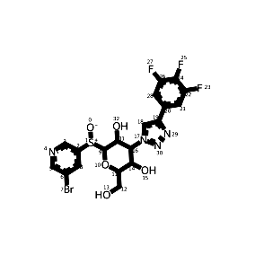 [O-][S+](c1cncc(Br)c1)C1OC(CO)C(O)C(n2cc(-c3cc(F)c(F)c(F)c3)nn2)C1O